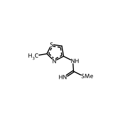 CSC(=N)Nc1csc(C)n1